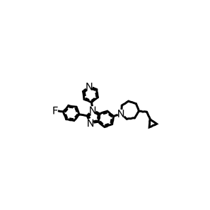 Fc1ccc(-c2nc3ccc(N4CCCC(CC5CC5)CC4)cc3n2-c2ccncc2)cc1